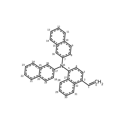 C=Cc1ccc(N(c2ccc3ccccc3c2)c2ccc3ccccc3c2)c2ccccc12